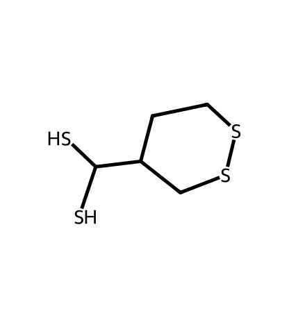 SC(S)C1CCSSC1